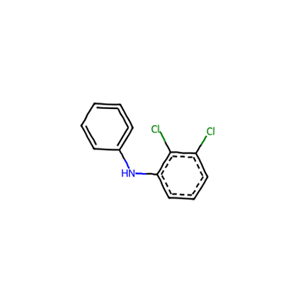 Clc1cccc(NC2=C=C=CC=C2)c1Cl